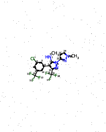 CNc1c(-c2cc(Cl)cc(C(F)(F)F)c2)c(C(F)(F)F)nn1-c1ccn(C)n1